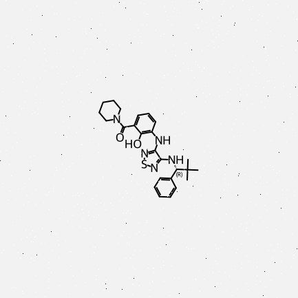 CC(C)(C)[C@@H](Nc1nsnc1Nc1cccc(C(=O)N2CCCCC2)c1O)c1ccccc1